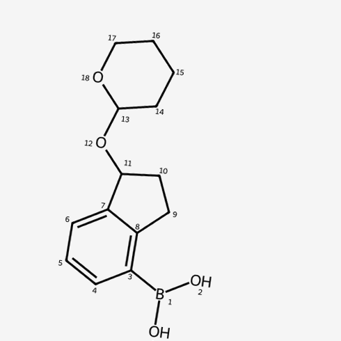 OB(O)c1cccc2c1CCC2OC1CCCCO1